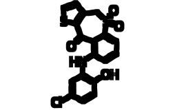 O=C1c2sccc2CS(=O)(=O)c2cccc(Nc3cc(Cl)ccc3O)c21